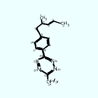 CCCC(C)Cc1ccc(-c2nnc(C)nn2)cc1